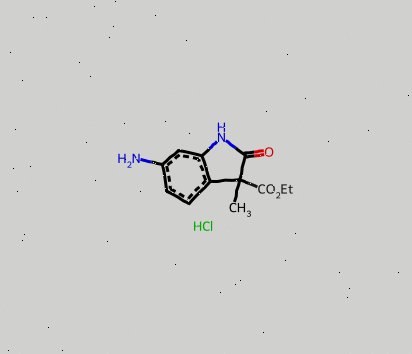 CCOC(=O)C1(C)C(=O)Nc2cc(N)ccc21.Cl